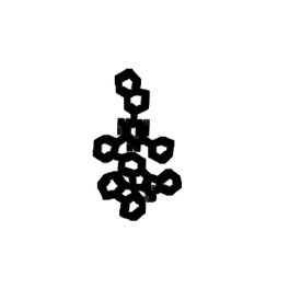 c1ccc(-c2nc(-c3ccc4ccccc4c3)nc(-c3ccccc3-c3ccc4c(c3)C3(c5ccccc5-c5ccccc53)c3sc5ccccc5c3-4)n2)cc1